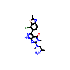 C=C(N)CN(C)c1nc2[nH]nc(-c3ccc4nc(C)sc4c3Cl)c2c(=O)n1C